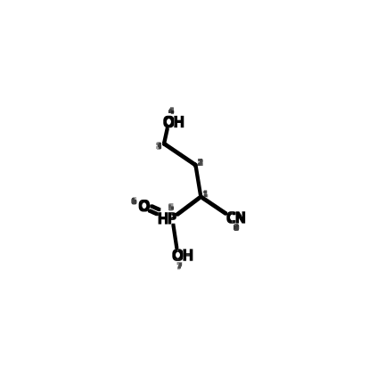 N#CC(CCO)[PH](=O)O